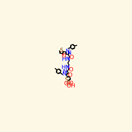 Cc1ccc(Cn2nc(C(=O)NCCCNC(=O)c3nn(Cc4ccc(C)cc4)c4c3oc3cc(S(=O)(=O)O)sc34)c3oc4ccsc4c32)cc1